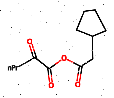 CCCC(=O)C(=O)OC(=O)CC1CCCC1